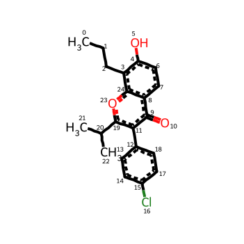 CCCc1c(O)ccc2c(=O)c(-c3ccc(Cl)cc3)c(C(C)C)oc12